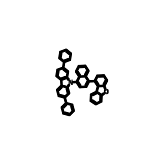 c1ccc(-c2ccc3c4ccc(-c5ccccc5)cc4n(-c4ccc(-c5cccc6oc7ccccc7c56)c5ccccc45)c3c2)cc1